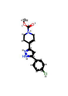 CC(C)(C)OC(=O)N1CC=C(c2cc(-c3ccc(Cl)cc3)[nH]n2)CC1